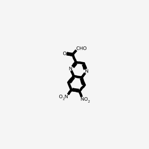 O=CC(=O)c1cnc2cc([N+](=O)[O-])c([N+](=O)[O-])cc2n1